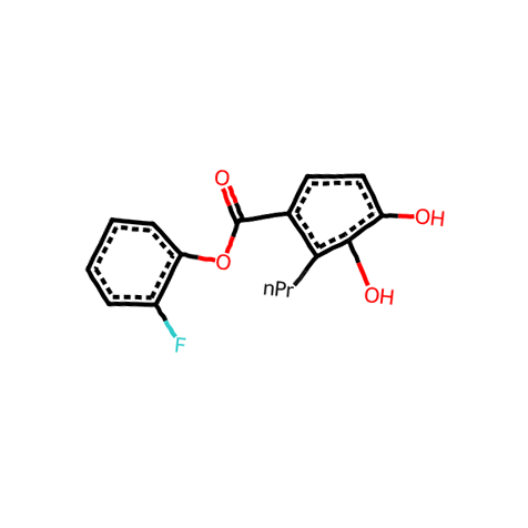 CCCc1c(C(=O)Oc2ccccc2F)ccc(O)c1O